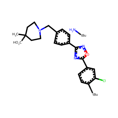 CC(C)(C)N.CC1(C(=O)O)CCN(Cc2ccc(-c3noc(-c4ccc(C(C)(C)C)c(Cl)c4)n3)cc2)CC1